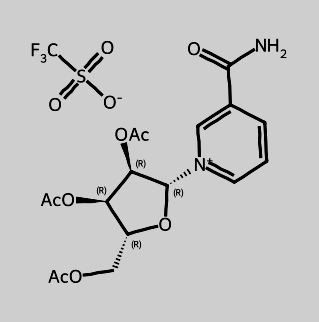 CC(=O)OC[C@H]1O[C@@H]([n+]2cccc(C(N)=O)c2)[C@H](OC(C)=O)[C@@H]1OC(C)=O.O=S(=O)([O-])C(F)(F)F